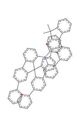 CC1(C)c2ccccc2-c2ccc(N(c3ccccc3-c3ccccc3)c3cccc4c3C3(c5cc(-c6ccccc6)ccc5-c5ccc(-c6ccccc6)cc53)c3cc(-c5ccccc5)ccc3-4)cc21